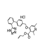 C=CCOC(=O)c1c(OCc2ccc(-c3ccccc3-c3nnn[nH]3)cc2)cc(C)nc1C.Cl